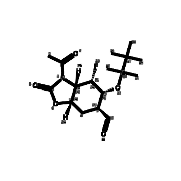 CC(=O)N1C(=O)O[C@H]2C[C@H](C=O)[C@@H](O[Si](C)(C)C(C)(C)C)[C@@H](F)[C@H]21